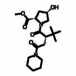 COC(=O)[C@@H]1C[C@H](O)CN1C(=O)[C@@H](CC(=O)N1CCCCC1)C(C)(C)C